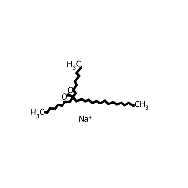 CCCCCCCCCCCCCCCCC(CCCCCCCC)(CCCCCCCC)C(=O)[O-].[Na+]